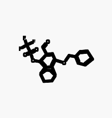 O=Cc1cc(OCc2ccccc2)c2c(c1OS(=O)(=O)C(F)(F)F)C1CCC2CC1